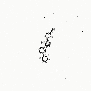 N#CN1CCC(c2nnc(-c3cccc(-c4ccccc4)n3)[nH]2)C1